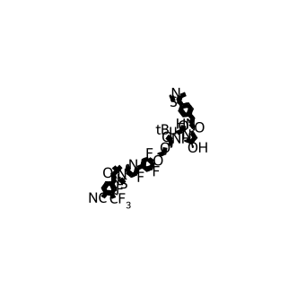 Cc1ncsc1-c1ccc(CNC(=O)[C@@H]2C[C@@H](O)CN2C(=O)[C@@H](NC(=O)COCCOc2c(F)cc(-c3ncc(N4C(=S)N(c5ccc(C#N)c(C(F)(F)F)c5F)C(=O)C4(C)C)cc3F)cc2F)C(C)(C)C)cc1